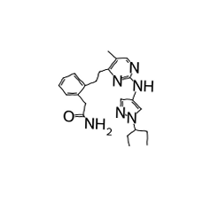 CCC(CC)n1cc(Nc2ncc(C)c(CCc3ccccc3CC(N)=O)n2)cn1